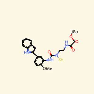 COc1ccc(-c2cc3ccccc3[nH]2)cc1NC(=O)N(S)CCNC(=O)C(=O)OC(C)(C)C